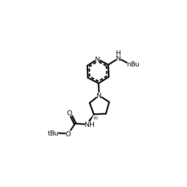 CCCCNc1cc(N2CC[C@@H](NC(=O)OC(C)(C)C)C2)ccn1